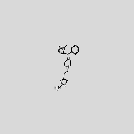 Cn1nccc1C(c1ccccc1)N1CCN(CCc2csc(N)n2)CC1